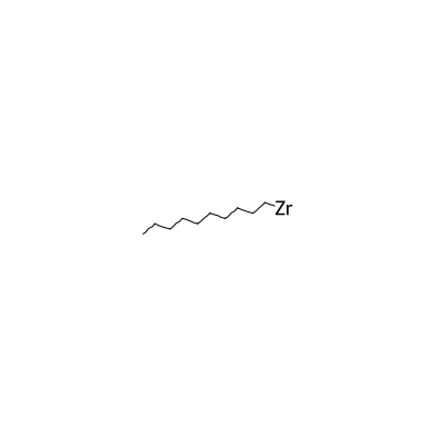 CCCCCCCCC[CH2][Zr]